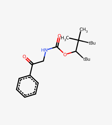 CC(C)(C)C(OC(=O)NCC(=O)c1ccccc1)C(C)(C)C(C)(C)C